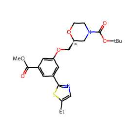 CCc1cnc(-c2cc(OC[C@@H]3CN(C(=O)OC(C)(C)C)CCO3)cc(C(=O)OC)c2)s1